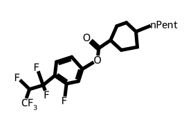 CCCCCC1CCC(C(=O)Oc2ccc(C(F)(F)C(F)C(F)(F)F)c(F)c2)CC1